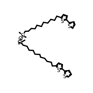 C[Si](C)(CCCCCCCCCCCc1ccc(-c2cccs2)s1)O[Si](C)(C)CCCCCCCCCCCc1ccc(-c2cccs2)s1